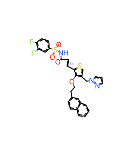 O=C(/C=C/c1scc(Cn2cccn2)c1OCCc1ccc2ccccc2c1)NS(=O)(=O)c1ccc(F)c(F)c1